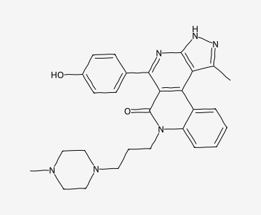 Cc1n[nH]c2nc(-c3ccc(O)cc3)c3c(=O)n(CCCN4CCN(C)CC4)c4ccccc4c3c12